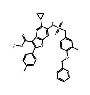 CNC(=O)c1c(-c2ccc(Cl)cc2)oc2cc(NS(=O)(=O)Cc3ccc(OCc4ccccc4)c(F)c3)c(C3CC3)cc12